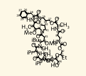 CCC(COC(=O)NCCC(=O)N[C@@H](C)C(=O)OCCCNC(=O)[C@H](Cc1ccccc1)NC(=O)[C@H](C)[C@@H](OC)[C@@H]1CCCN1C(=O)C[C@@H](OC)[C@H]([C@@H](C)CC)N(C)C(=O)[C@@H](NC(=O)[C@H](C(C)C)N(C)C)C(C)C)OC(CO)OC